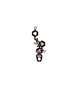 COc1cccc(C(=O)NC2CC3CCC(C2)N3c2ccc(C(=O)NCCc3ccc(Cl)cc3)cn2)c1C